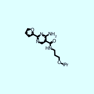 CC(C)OCCCNC(=O)c1cnc(-c2ccco2)nc1N